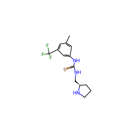 Cc1cc(NC(=S)NC[C@H]2CCCN2)cc(C(F)(F)F)c1